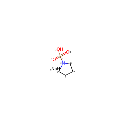 O=S(=O)(O)N1CCCC1.[NaH]